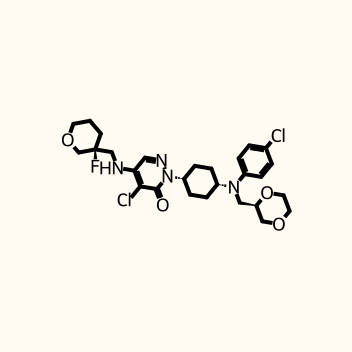 O=c1c(Cl)c(NC[C@@]2(F)CCCOC2)cnn1[C@H]1CC[C@@H](N(C[C@@H]2COCCO2)c2ccc(Cl)cc2)CC1